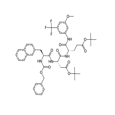 COc1cc(NC(=O)[C@H](CCC(=O)OC(C)(C)C)NC(=O)[C@H](CC(=O)OC(C)(C)C)NC(=O)[C@H](Cc2ccc3ccccc3c2)NC(=O)OCc2ccccc2)cc(C(F)(F)F)c1